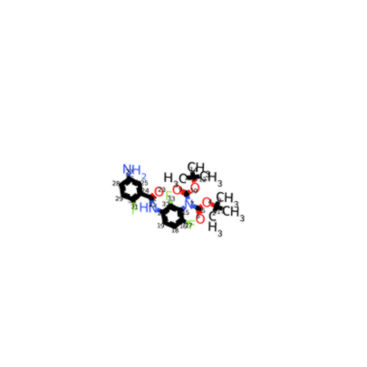 CC(C)(C)OC(=O)N(C(=O)OC(C)(C)C)c1c(F)ccc(NC(=O)c2cc(N)ccc2F)c1F